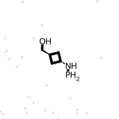 OC[C@H]1C[C@H](NP)C1